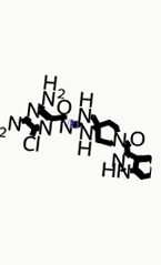 Nc1nc(N)c(C(=O)/N=C2\NCC3(CCN(C(=O)c4n[nH]c5ccccc45)CC3)N2)nc1Cl